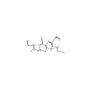 CCON=C(CC)CC1=C(O)CC(CC(C)SCC)CC1=O